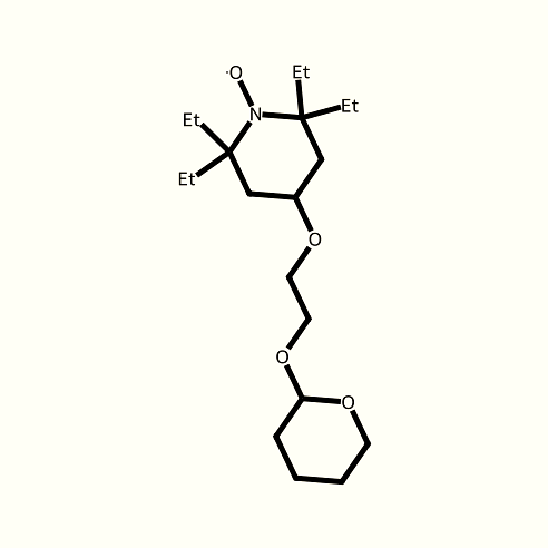 CCC1(CC)CC(OCCOC2CCCCO2)CC(CC)(CC)N1[O]